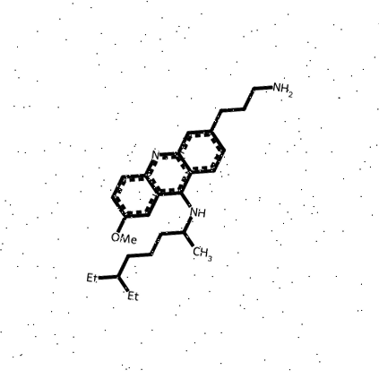 CCC(CC)CCCC(C)Nc1c2ccc(CCCN)cc2nc2ccc(OC)cc12